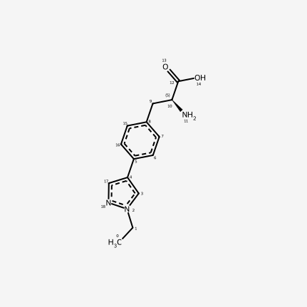 CCn1cc(-c2ccc(C[C@H](N)C(=O)O)cc2)cn1